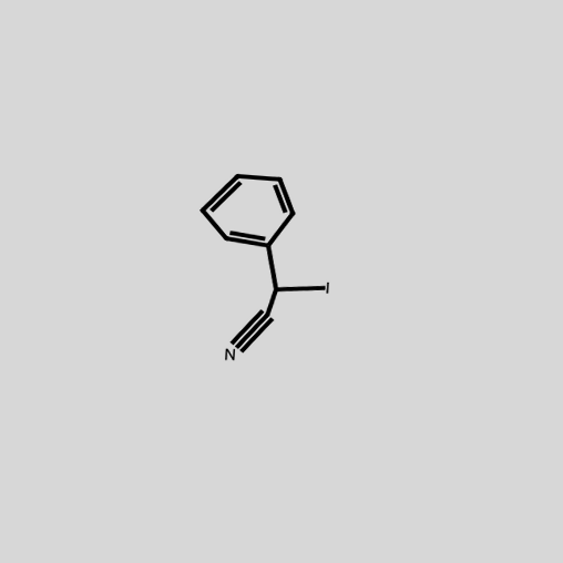 N#CC(I)c1ccccc1